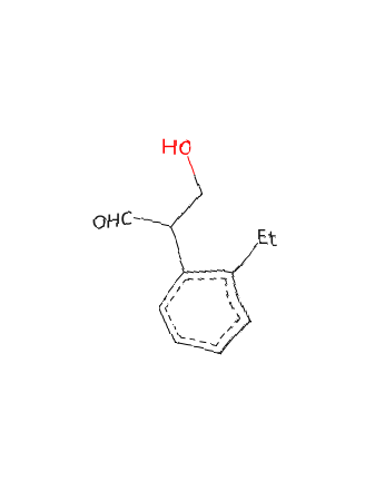 CCc1ccccc1C(C=O)CO